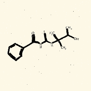 CC(O)C(C)(C)NC(=S)NC(=O)c1ccccc1